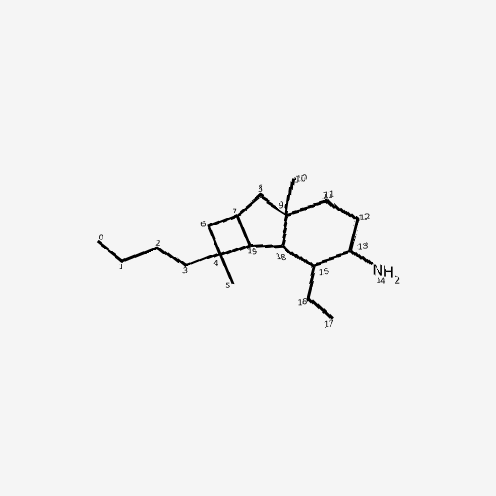 CCCCC1(C)CC2CC3(C)CCC(N)C(CC)C3C21